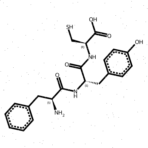 N[C@@H](Cc1ccccc1)C(=O)N[C@@H](Cc1ccc(O)cc1)C(=O)N[C@@H](CS)C(=O)O